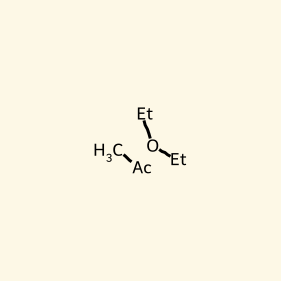 CC(C)=O.CCOCC